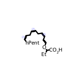 CCCCC/C=C\C/C=C\C/C=C\C=COC(CC)C(=O)O